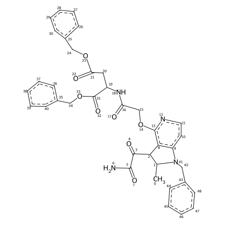 CC1C(C(=O)C(N)=O)c2c(ccnc2OCC(=O)NC(CC(=O)OCc2ccccc2)C(=O)OCc2ccccc2)N1Cc1ccccc1